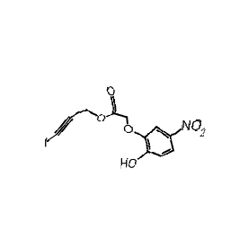 O=C(COc1cc([N+](=O)[O-])ccc1O)OCC#CI